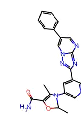 CC1=C(C(N)=O)OC(C)N1c1cncc(-c2nc3ncc(-c4ccccc4)cn3n2)c1